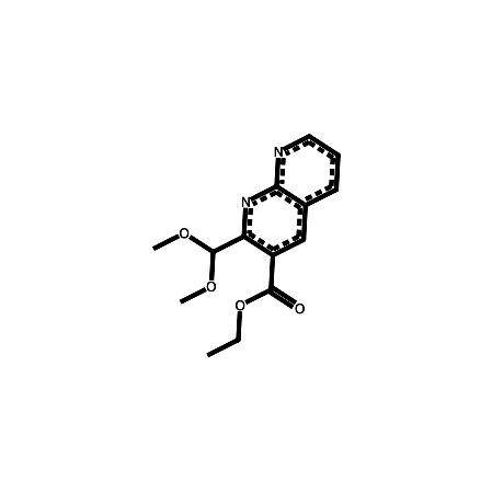 CCOC(=O)c1cc2cccnc2nc1C(OC)OC